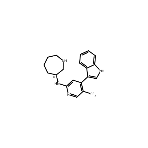 FC(F)(F)c1cnc(N[C@H]2CCCCNC2)cc1-c1c[nH]c2ccccc12